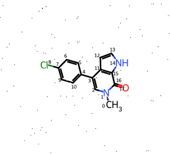 Cn1cc(-c2ccc(Cl)cc2)c2cc[nH]c2c1=O